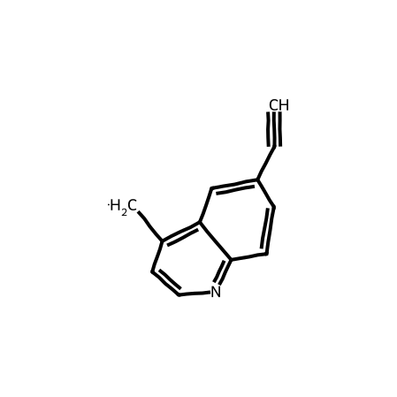 C#Cc1ccc2nccc([CH2])c2c1